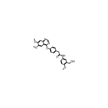 COc1ccc(NC(=O)Cc2ccc(Oc3ncnc4cc(OC)c(OC)cc34)cc2)cc1CO